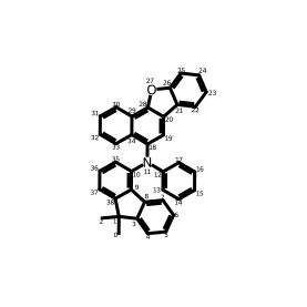 CC1(C)c2ccccc2-c2c(N(c3ccccc3)c3cc4c5ccccc5oc4c4ccccc34)cccc21